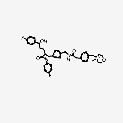 C[N+]1(Cc2ccc(CC(=O)NCc3ccc(C4C(CCC(O)c5ccc(F)cc5)C(=O)N4c4ccc(F)cc4)cc3)cc2)CCOCC1